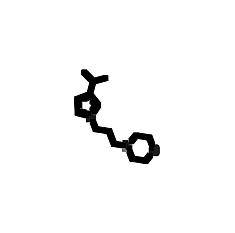 CC(C)c1ccn(CCCN2CCOCC2)c1